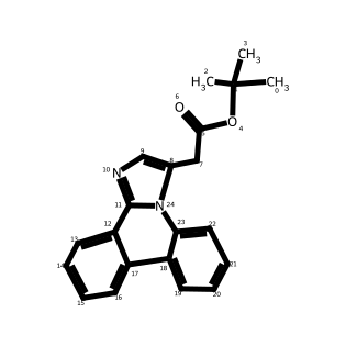 CC(C)(C)OC(=O)Cc1cnc2c3ccccc3c3ccccc3n12